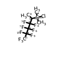 CC(C(F)(F)C(F)(F)C(F)(F)C(F)(F)F)[Si](C)(C)Cl